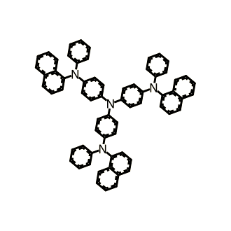 c1ccc(N(c2ccc(N(c3ccc(N(c4ccccc4)c4cccc5ccccc45)cc3)c3ccc(N(c4ccccc4)c4cccc5ccccc45)cc3)cc2)c2cccc3ccccc23)cc1